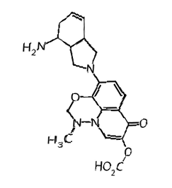 CN1COc2c(N3CC4C=CCC(N)C4C3)ccc3c(=O)c(OC(=O)O)cn1c23